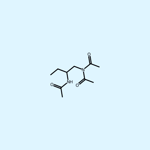 CCC(CN(C(C)=O)C(C)=O)NC(C)=O